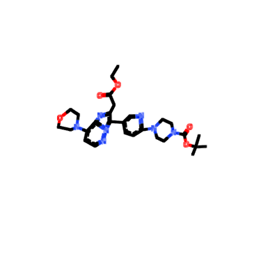 CCOC(=O)Cc1nc2c(N3CCOCC3)ccnn2c1-c1ccc(N2CCN(C(=O)OC(C)(C)C)CC2)nc1